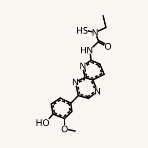 CCN(S)C(=O)Nc1ccc2ncc(-c3ccc(O)c(OC)c3)nc2n1